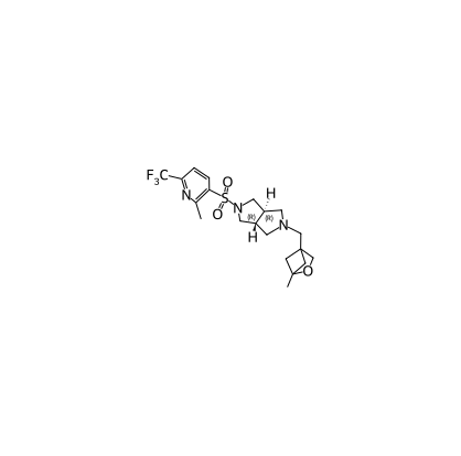 Cc1nc(C(F)(F)F)ccc1S(=O)(=O)N1C[C@H]2CN(CC34COC(C)(C3)C4)C[C@@H]2C1